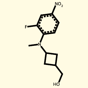 CN(c1ccc([N+](=O)[O-])cc1F)C1CC(CO)C1